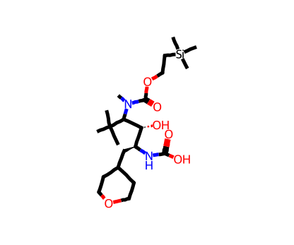 CN(C(=O)OCC[Si](C)(C)C)C([C@H](O)[C@H](CC1CCOCC1)NC(=O)O)C(C)(C)C